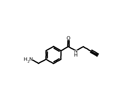 C#CCNC(=O)c1ccc(CN)cc1